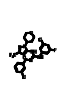 O=C(/N=C(/Nc1cc(F)cc(Cl)c1)Nc1cc(C(F)(F)F)nn1C1CCOCC1)c1cccc(Cl)c1